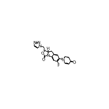 O=C1C=CN(c2cc3c(cc2F)N2C(=O)O[C@@H](Cn4ccnn4)[C@@H]2C3)CC1